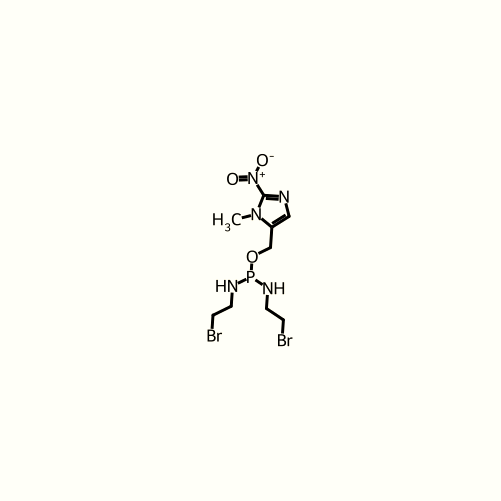 Cn1c(COP(NCCBr)NCCBr)cnc1[N+](=O)[O-]